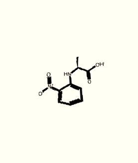 C[C@H](Nc1ccccc1[N+](=O)[O-])C(=O)O